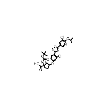 CC(C)Oc1ncc(-c2nc(-c3ccc(OC4CCC(NC(=O)OC(C)(C)C)(C(=O)O)C4)cc3Cl)no2)cc1Cl